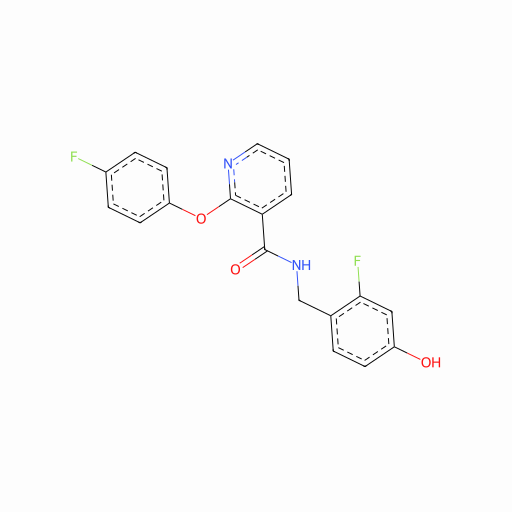 O=C(NCc1ccc(O)cc1F)c1cccnc1Oc1ccc(F)cc1